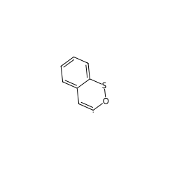 [C]1=Cc2ccccc2SO1